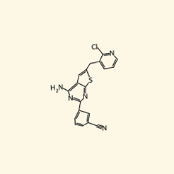 N#Cc1cccc(-c2nc(N)c3cc(Cc4cccnc4Cl)sc3n2)c1